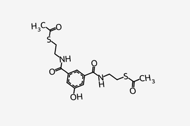 CC(=O)SCCNC(=O)c1cc(O)cc(C(=O)NCCSC(C)=O)c1